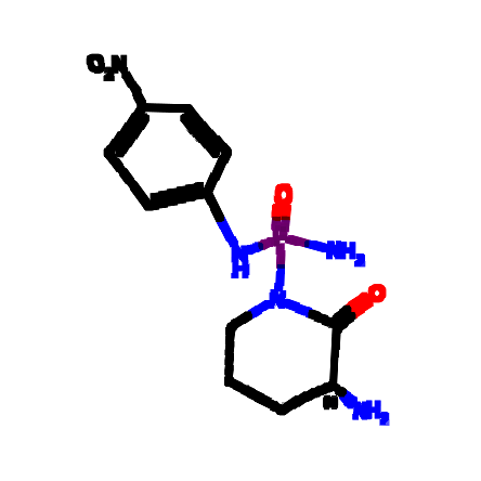 N[C@H]1CCCN(P(N)(=O)Nc2ccc([N+](=O)[O-])cc2)C1=O